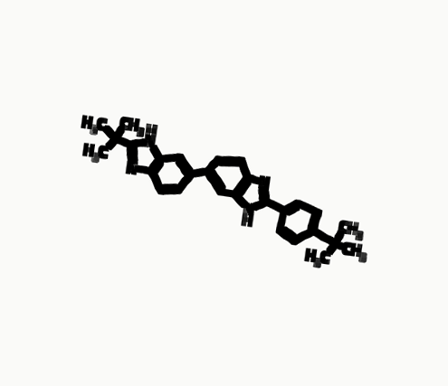 CC(C)(C)c1ccc(-c2nc3ccc(-c4ccc5nc(C(C)(C)C)[nH]c5c4)cc3[nH]2)cc1